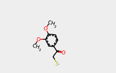 COc1ccc(C(=O)C[S])cc1OC